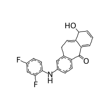 O=C1C2=CC=CC(O)C2=CCc2cc(Nc3ccc(F)cc3F)ccc21